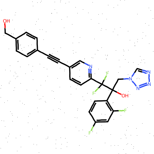 OCc1ccc(C#Cc2ccc(C(F)(F)C(O)(Cn3cnnn3)c3ccc(F)cc3F)nc2)cc1